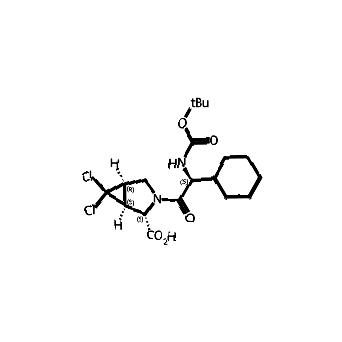 CC(C)(C)OC(=O)N[C@H](C(=O)N1C[C@H]2[C@@H]([C@H]1C(=O)O)C2(Cl)Cl)C1CCCCC1